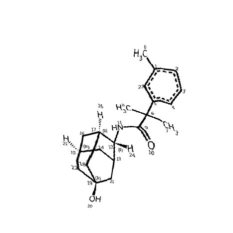 Cc1cccc(C(C)(C)C(=O)N[C@@H]2C3C[C@@H]4C[C@@H]2C[C@](O)(C3)C4)c1